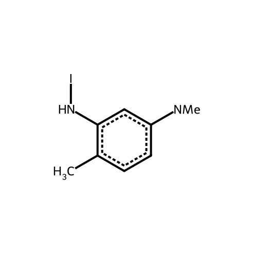 CNc1ccc(C)c(NI)c1